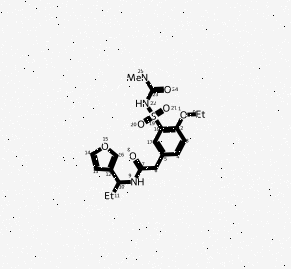 CCOc1ccc(CC(=O)NC(CC)c2ccoc2)cc1S(=O)(=O)NC(=O)NC